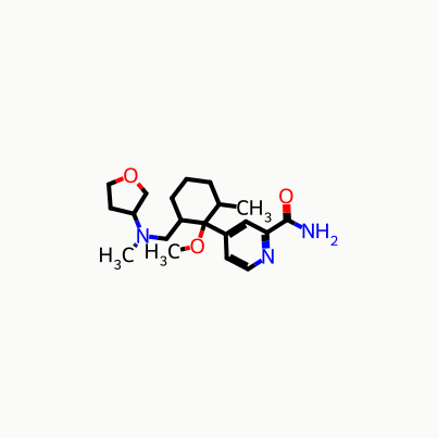 COC1(c2ccnc(C(N)=O)c2)C(C)CCCC1CN(C)C1CCOC1